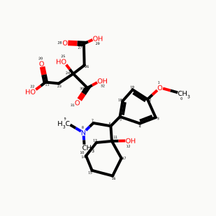 COc1ccc(C(CN(C)C)C2(O)CCCCC2)cc1.O=C(O)CC(O)(CC(=O)O)C(=O)O